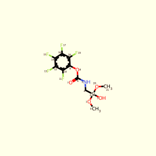 CO[Si](O)(CNC(=O)Oc1c(F)c(F)c(F)c(F)c1F)OC